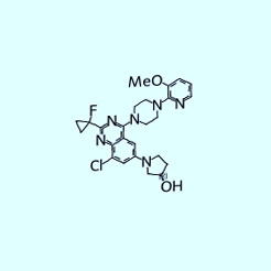 COc1cccnc1N1CCN(c2nc(C3(F)CC3)nc3c(Cl)cc(N4CC[C@@H](O)C4)cc23)CC1